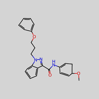 COC1C=CC(NC(=O)c2nn(CCCOc3ccccc3)c3ccccc23)=CC1